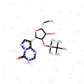 CC[C@H]1O[C@@H](c2cnn3c(=O)[nH]cnc23)[C@H](O[Si](C)(C)C(C)(C)C)[C@@H]1O